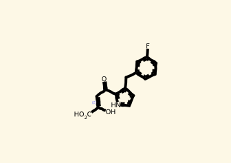 O=C(O)/C(O)=C/C(=O)c1[nH]ccc1Cc1cccc(F)c1